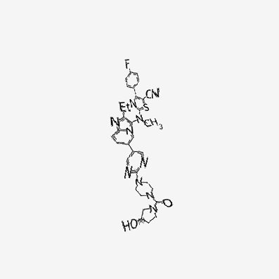 CCc1nc2ccc(-c3cnc(N4CCN(C(=O)N5CC[C@@H](O)C5)CC4)nc3)cn2c1N(C)c1nc(-c2ccc(F)cc2)c(C#N)s1